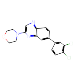 Clc1ccc(-c2ccc3ncc(N4CCOCC4)nc3c2)cc1Cl